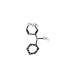 C/C=C\C(=C/C)N(C)c1ccccc1